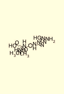 CN(C)NC(=O)[C@H](CCC(=O)O)NC(=O)c1ccc(NCc2cnc3nc(N)nc(O)c3n2)cc1